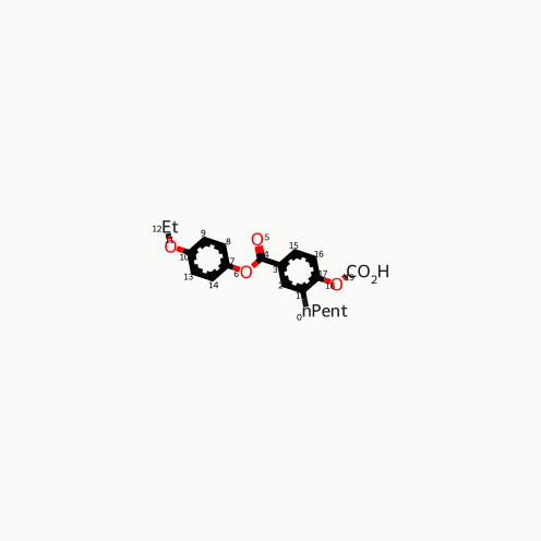 CCCCCc1cc(C(=O)Oc2ccc(OCC)cc2)ccc1OC(=O)O